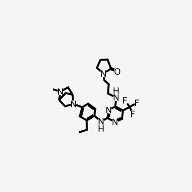 CCc1cc(N2CC3CC2CN3C)ccc1Nc1ncc(C(F)(F)F)c(NCCCN2CCCC2=O)n1